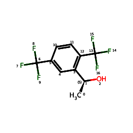 C[C@H](O)c1cc(C(F)(F)F)ccc1C(F)(F)F